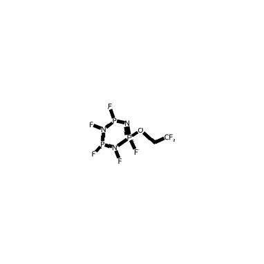 FN1P(F)N=P(F)(OCC(F)(F)F)N(F)P1F